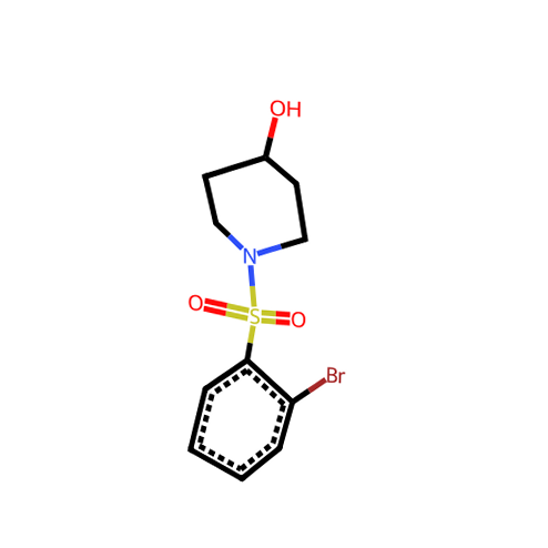 O=S(=O)(c1ccccc1Br)N1CCC(O)CC1